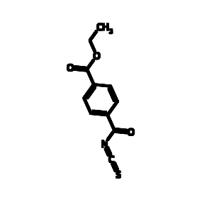 CCOC(=O)c1ccc(C(=O)N=C=S)cc1